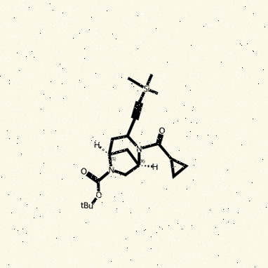 CC(C)(C)OC(=O)N1C[C@H]2C[C@@H]1CC(C#C[Si](C)(C)C)N2C(=O)C1CC1